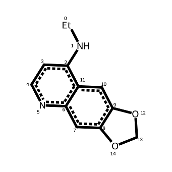 CCNc1ccnc2cc3c(cc12)OCO3